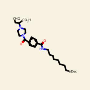 CCCCCCCCCCCCCCCCCCNC(=O)c1ccc(C(=O)N2CCN(C(CC=O)C(=O)O)CC2)cc1